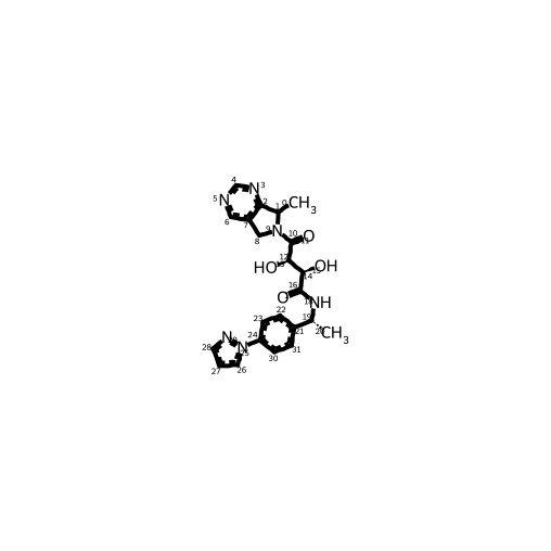 CC1c2ncncc2CN1C(=O)[C@H](O)[C@@H](O)C(=O)N[C@H](C)c1ccc(-n2cccn2)cc1